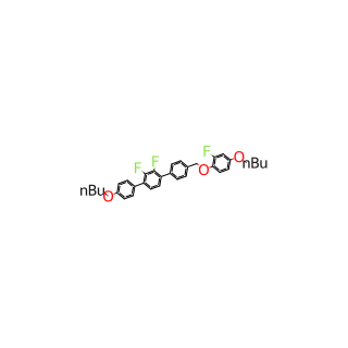 CCCCOc1ccc(-c2ccc(-c3ccc(COc4ccc(OCCCC)cc4F)cc3)c(F)c2F)cc1